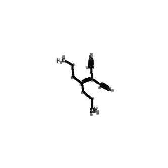 CCCC(CCC)=C(C#N)C#N